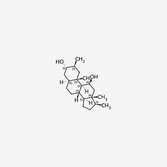 C[C@H]1C[C@@]2(C)[C@@H](CC[C@@H]3[C@@H]2[C@@H](O)C[C@]2(C)[C@@H](C)CC[C@@H]32)C[C@@H]1O